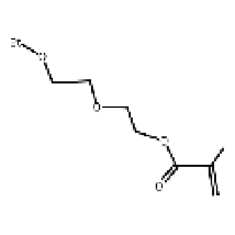 [CH2]COCCOCCOC(=O)C(=C)C